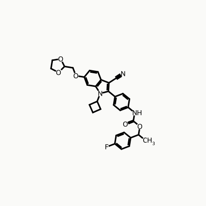 CC(OC(=O)Nc1ccc(-c2c(C#N)c3ccc(OCC4OCCO4)cc3n2C2CCC2)cc1)c1ccc(F)cc1